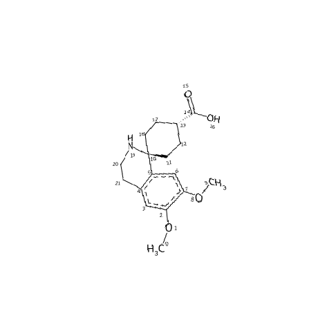 COc1cc2c(cc1OC)[C@]1(CC[C@@H](C(=O)O)CC1)NCC2